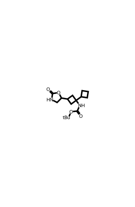 CC(C)(C)OC(=O)NC1(C2CCC2)CC(C2CNC(=O)O2)C1